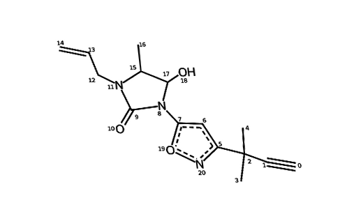 C#CC(C)(C)c1cc(N2C(=O)N(CC=C)C(C)C2O)on1